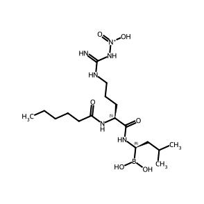 CCCCCC(=O)N[C@@H](CCCNC(=N)N[N+](=O)O)C(=O)N[C@@H](CC(C)C)B(O)O